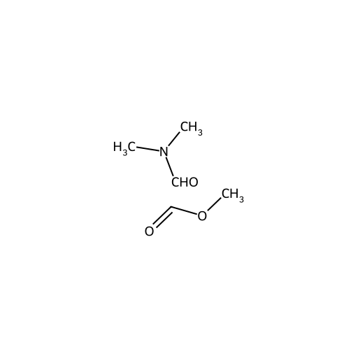 CN(C)C=O.COC=O